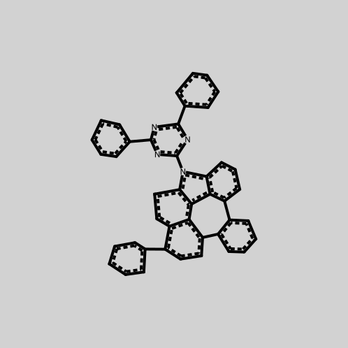 c1ccc(-c2nc(-c3ccccc3)nc(-n3c4cccc5c4c4c6c(ccc(-c7ccccc7)c6ccc43)-c3ccccc3-5)n2)cc1